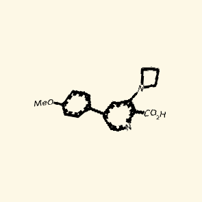 COc1ccc(-c2cnc(C(=O)O)c(N3CCC3)c2)cc1